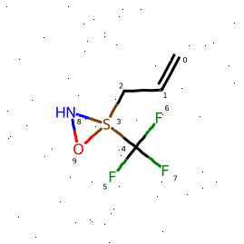 C=CCS1(C(F)(F)F)NO1